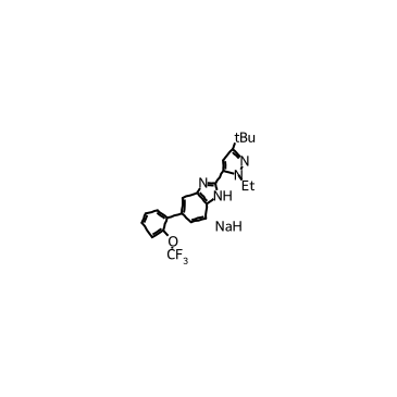 CCn1nc(C(C)(C)C)cc1-c1nc2cc(-c3ccccc3OC(F)(F)F)ccc2[nH]1.[NaH]